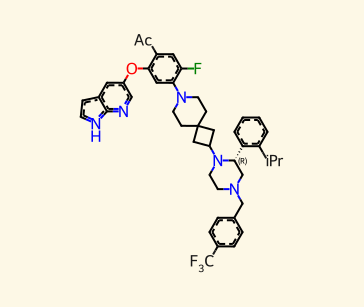 CC(=O)c1cc(F)c(N2CCC3(CC2)CC(N2CCN(Cc4ccc(C(F)(F)F)cc4)C[C@H]2c2ccccc2C(C)C)C3)cc1Oc1cnc2[nH]ccc2c1